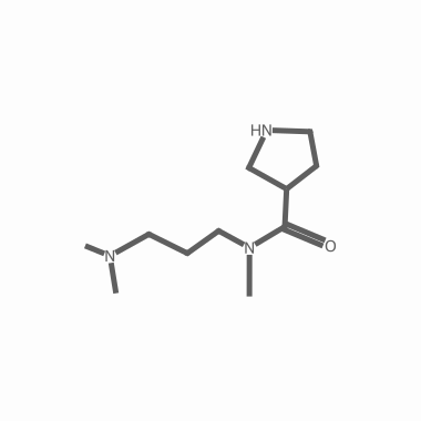 CN(C)CCCN(C)C(=O)C1CCNC1